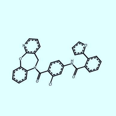 O=C(Nc1ccc(C(=O)N2Cc3cccnc3Oc3ccccc32)c(Cl)c1)c1ccccc1-c1ccco1